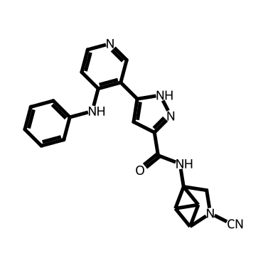 N#CN1CC2(NC(=O)c3cc(-c4cnccc4Nc4ccccc4)[nH]n3)C3C1C32